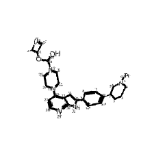 CC(C)N1CCC[C@@H](c2ccc(-c3cc4c(N5CCN(C(O)OC6COC6)CC5)ccnc4[nH]3)cc2)C1